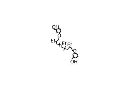 CCC(CCOc1cccc(CO)c1)CC(C)(C)CC(CC)C(C)(C)CC(CC)CCOc1cccc(CO)c1